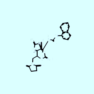 N=C1N[C@H]2C(CN3C(=O)CCC3=O)NC(=N)N3CC(NC(=O)Nc4cccc5ccccc45)C(O)(O)[C@]23N1